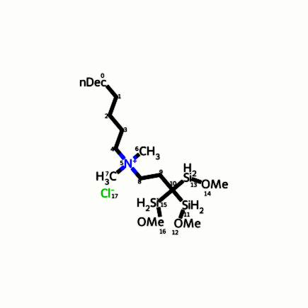 CCCCCCCCCCCCCC[N+](C)(C)CCC([SiH2]OC)([SiH2]OC)[SiH2]OC.[Cl-]